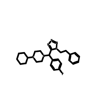 Fc1ccc(C(c2nnnn2CCc2ccccc2)N2CCN(C3CCCCC3)CC2)cc1